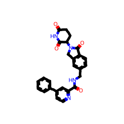 O=C1CCC(N2Cc3cc(CNC(=O)c4cc(-c5ccccc5)ccn4)ccc3C2=O)C(=O)N1